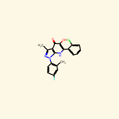 Cc1cc(F)ccc1-n1nc(C)c2c(=O)c(O)c(-c3ccccc3Cl)[nH]c21